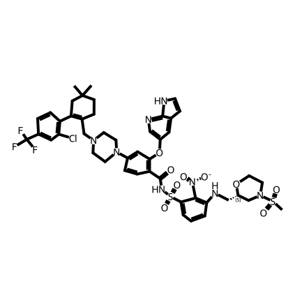 CC1(C)CCC(CN2CCN(c3ccc(C(=O)NS(=O)(=O)c4cccc(NC[C@H]5CN(S(C)(=O)=O)CCO5)c4[N+](=O)[O-])c(Oc4cnc5[nH]ccc5c4)c3)CC2)=C(c2ccc(C(F)(F)F)cc2Cl)C1